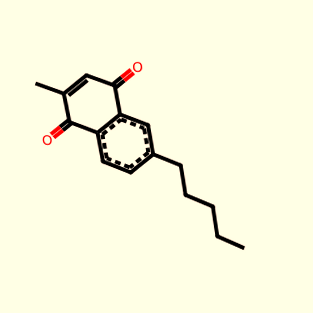 CCCCCc1ccc2c(c1)C(=O)C=C(C)C2=O